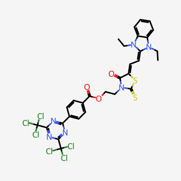 CCN1C(=CC=C2SC(=S)N(CCOC(=O)c3ccc(-c4nc(C(Cl)(Cl)Cl)nc(C(Cl)(Cl)Cl)n4)cc3)C2=O)N(CC)c2ccccc21